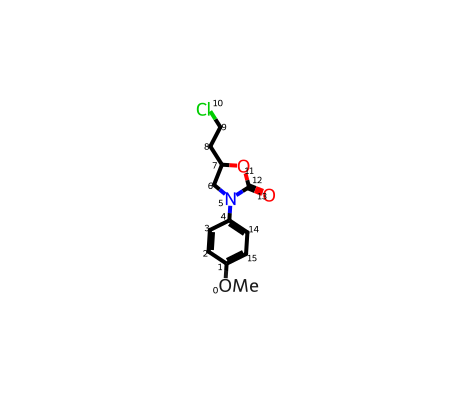 COc1ccc(N2CC(CCCl)OC2=O)cc1